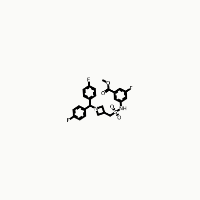 COC(=O)c1cc(F)cc(NS(=O)(=O)CC2CN(C(c3ccc(F)cc3)c3ccc(F)cc3)C2)c1